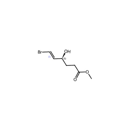 COC(=O)CC[C@H](O)/C=C/Br